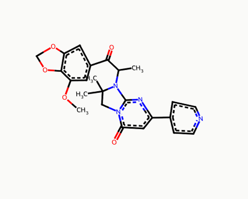 COc1cc(C(=O)C(C)N2c3nc(-c4ccncc4)cc(=O)n3CC2(C)C)cc2c1OCO2